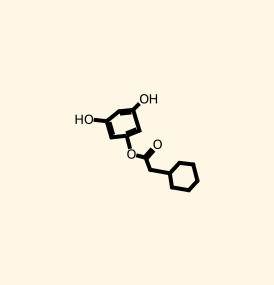 O=C(CC1CCCCC1)Oc1cc(O)cc(O)c1